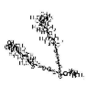 CCC(C)(C)C(=O)NCC(C)(C)OCC(C)(C)CNC(=O)CC(C)(C)OCC(C)(C)CNC(=O)CCOCCOCCOCCOCCN(CCOCCOCCOCCOCCC(=O)NCC(C)(C)COC(C)(C)CC(=O)NCC(C)(C)COC(C)(C)CNC(=O)C(C)(C)CC(C)(C)C)C(=O)c1ccc(-c2nnc(S(C)(=O)=O)o2)cc1